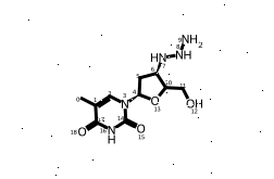 Cc1cn([C@H]2C[C@@H](NNN)C(CO)O2)c(=O)[nH]c1=O